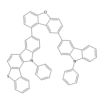 c1ccc(-n2c3ccccc3c3cc(-c4ccc5oc6cccc(-c7ccc8c(c7)c7ccc9sc%10ccccc%10c9c7n8-c7ccccc7)c6c5c4)ccc32)cc1